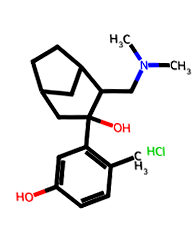 Cc1ccc(O)cc1C1(O)CC2CCC(C2)C1CN(C)C.Cl